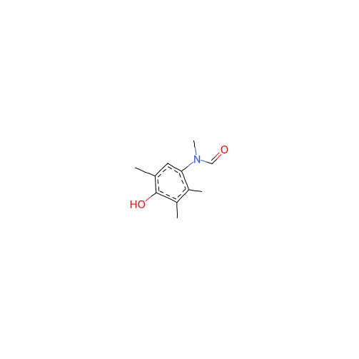 Cc1cc(N(C)C=O)c(C)c(C)c1O